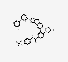 O=C(Nc1ccc(OC(F)(F)Cl)cc1)c1cnc(N2CC[C@@H](F)C2)c(-c2cnc3c(c2)-c2nn(-c4nccc(-c5cncc(F)c5)n4)cc2C3)c1